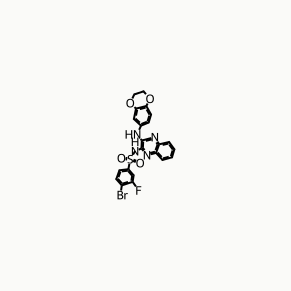 O=S(=O)(Nc1nc2ccccc2nc1Nc1ccc2c(c1)OCCO2)c1ccc(Br)c(F)c1